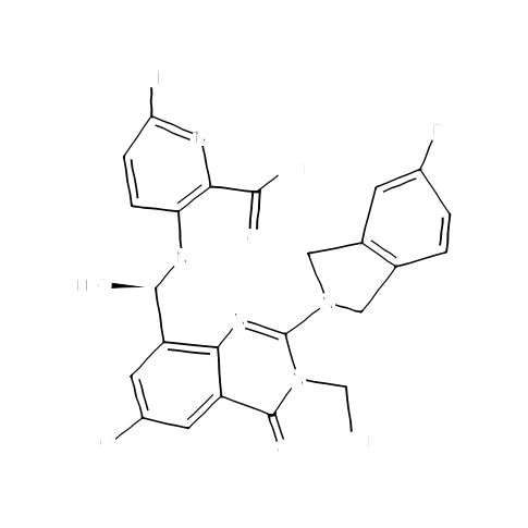 CCn1c(N2Cc3ccc(F)cc3C2)nc2c([C@@H](C)Nc3ccc(Cl)nc3C(=O)O)cc(Cl)cc2c1=O